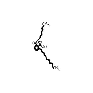 CCCCCCCCCCCc1cccc(C(=O)OCCCCCCCCC)c1C(=O)O